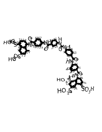 Cc1cc(SOO)cc2c(SOO)ccc(NC(=O)c3ccc(NC(=O)c4ccc(NC(=O)Nc5ccc(C(=O)Nc6ccc(C(=O)Nc7ccc(S(=O)(=O)O)c8cc(S(=O)(=O)O)cc(S(=O)(=O)O)c78)cc6)cc5)cc4)cc3)c12